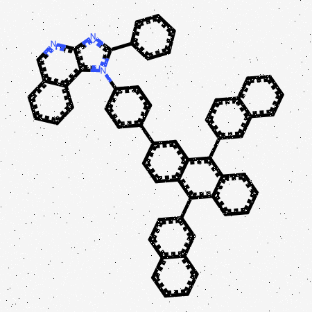 c1ccc(-c2nc3ncc4ccccc4c3n2-c2ccc(-c3ccc4c(-c5ccc6ccccc6c5)c5ccccc5c(-c5ccc6ccccc6c5)c4c3)cc2)cc1